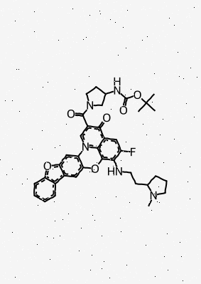 CN1CCCC1CCNc1c(F)cc2c(=O)c(C(=O)N3CCC(NC(=O)OC(C)(C)C)C3)cn3c2c1Oc1cc2c(cc1-3)oc1ccccc12